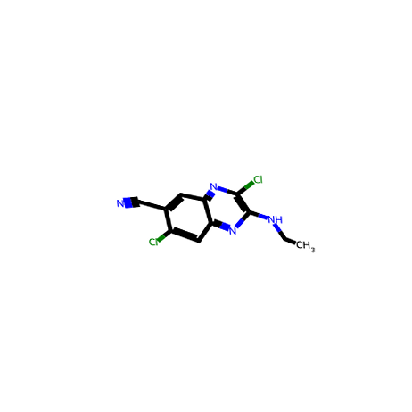 CCNc1nc2cc(Cl)c(C#N)cc2nc1Cl